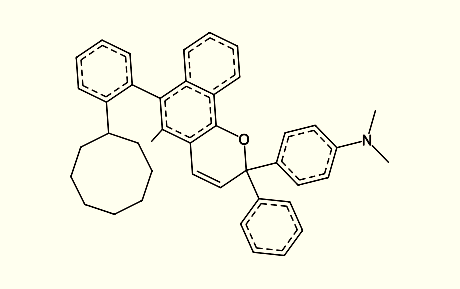 Cc1c2c(c3ccccc3c1-c1ccccc1C1CCCCCCC1)OC(c1ccccc1)(c1ccc(N(C)C)cc1)C=C2